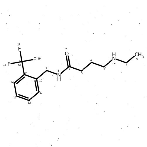 CCNCCCC(=O)NCc1ccccc1C(F)(F)F